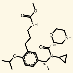 COC(=O)NCCCc1cc([C@@H](C)N(C(=O)[C@H]2CNCCO2)C2CC2)ccc1OC(C)C